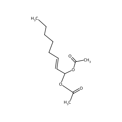 CCCCCC=CC(OC(C)=O)OC(C)=O